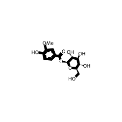 COc1cc(C(=O)O[C@@H]2O[C@H](CO)[C@@H](O)[C@H](O)[C@H]2O)ccc1O